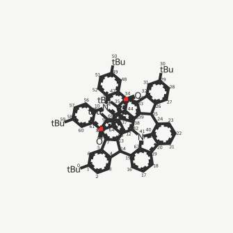 CC(C)(C)c1ccc2c(c1)-c1cc(C(C)(C)C)ccc1C2c1cccc2c3cccc(C4c5ccc(C(C)(C)C)cc5-c5cc(C(C)(C)C)ccc54)c3n(-c3cc4c(=O)c5cc(C(C)(C)C)ccc5n5c6ccc(C(C)(C)C)cc6c(=O)c(c3)c45)c12